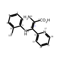 N/C(C(=O)O)=C(\Nc1ccccc1F)c1ccccn1